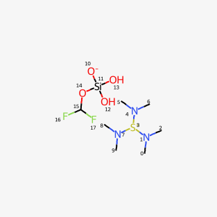 CN(C)[S+](N(C)C)N(C)C.[O-][Si](O)(O)OC(F)F